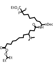 CCCCCCCCCCC(CCCCCCC(F)(F)C(=O)OCC)NC(=O)CCC(CCCCCCCC(=O)OOC(CC)CC)N(C)C